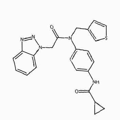 O=C(Nc1ccc(N(Cc2ccsc2)C(=O)Cn2nnc3ccccc32)cc1)C1CC1